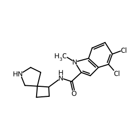 Cn1c(C(=O)NC2CCC23CCNC3)cc2c(Cl)c(Cl)ccc21